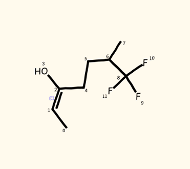 C/C=C(/O)CCC(C)C(F)(F)F